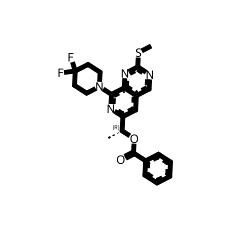 CSc1ncc2cc([C@@H](C)OC(=O)c3ccccc3)nc(N3CCC(F)(F)CC3)c2n1